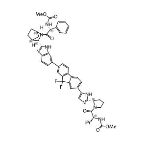 COC(=O)N[C@H](C(=O)N1CCC[C@H]1c1ncc(-c2ccc3c(c2)C(F)(F)c2cc(-c4ccc5nc([C@@H]6[C@H]7CC[C@H](C7)N6C(=O)[C@H](NC(=O)OC)c6ccccc6)[nH]c5c4)ccc2-3)[nH]1)C(C)C